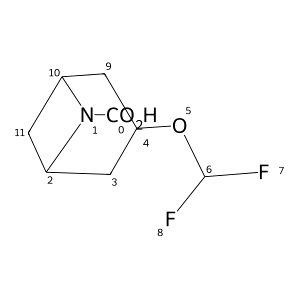 O=C(O)N1C2CC(OC(F)F)CC1C2